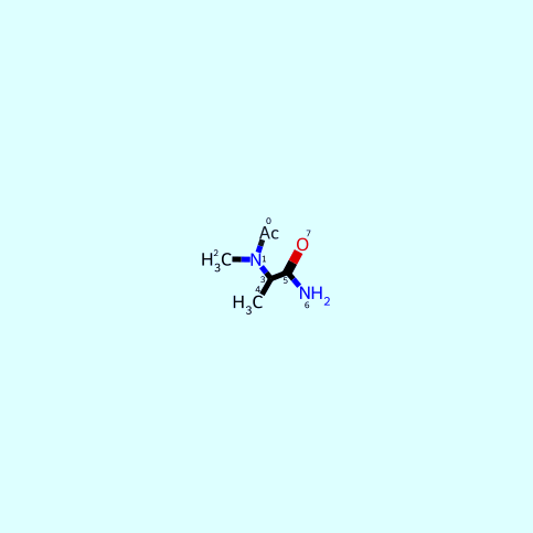 CC(=O)N(C)C(C)C(N)=O